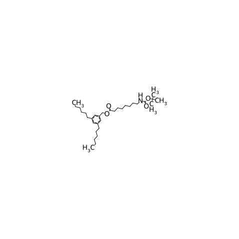 CCCCCCc1cc(CCCCCC)cc(COC(=O)CCCCCCCNC(=O)OC(C)(C)C)c1